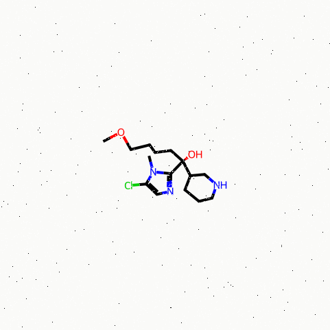 COCCCC[C@@](O)(c1ncc(Cl)n1C)C1CCCNC1